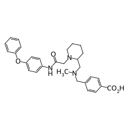 CN(Cc1ccc(C(=O)O)cc1)CC1CCCCN1CC(=O)Nc1ccc(Oc2ccccc2)cc1